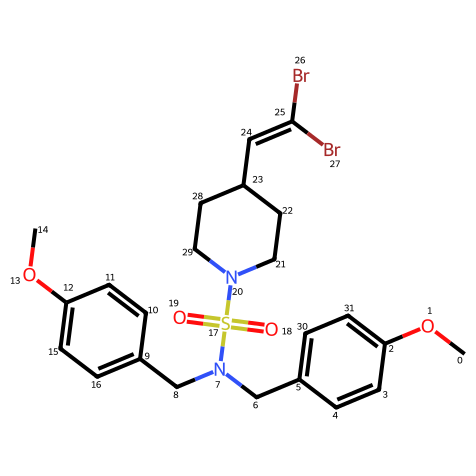 COc1ccc(CN(Cc2ccc(OC)cc2)S(=O)(=O)N2CCC(C=C(Br)Br)CC2)cc1